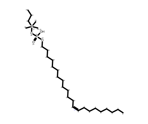 CCCCCCCC/C=C\CCCCCCCCCCCCOP(=O)(O)OP(C)(C)(C)CCC